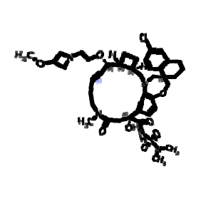 COC1CN(CCO[C@H]2/C=C/CCN(C)C(=O)C[C@](O)(C(=O)NS(=O)(=O)N(C)C)c3ccc4c(c3)N(C[C@@H]3CC[C@H]32)C[C@@]2(CCCc3cc(Cl)ccc32)CO4)C1